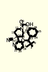 CC(C)(C)C(O[C@H]1CN(C(=O)O)CC[C@]1(C#N)c1ccccn1)c1ccccc1